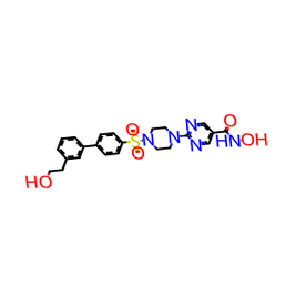 O=C(NO)c1cnc(N2CCN(S(=O)(=O)c3ccc(-c4cccc(CCO)c4)cc3)CC2)nc1